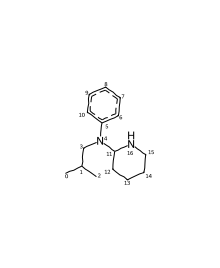 CC(C)CN(c1ccccc1)C1CCCCN1